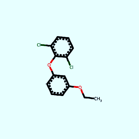 CCOc1cc[c]c(Oc2c(Cl)cccc2Cl)c1